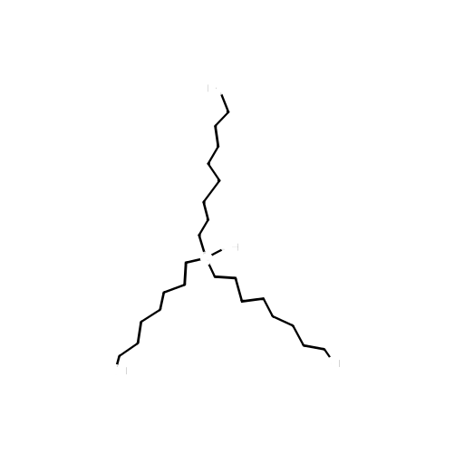 CCCCCCCCC[Si](C)(CCCCCCCC)CCCCCCCCC